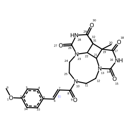 COc1ccc(/C=C/C(=O)N2CCN3C(=O)NC(=O)C4(C)C3C3N(CC2)C(=O)NC(=O)C34C)cc1